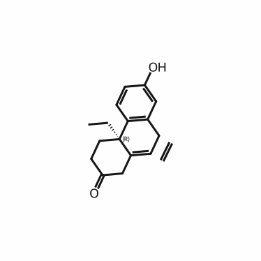 C=C.CC[C@@]12CCC(=O)CC1=CCc1cc(O)ccc12